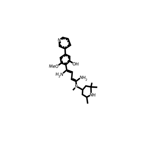 COc1cc(-c2cccnc2)cc(O)c1/C(N)=C/C=C(\N)N(C)C1CC(C)NC(C)(C)C1